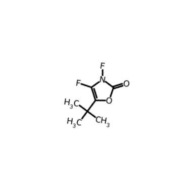 CC(C)(C)c1oc(=O)n(F)c1F